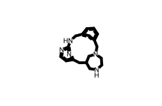 c1cc2cc(c1)CN1CCNCC(Cc3ccnc(n3)NC2)C1